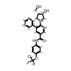 O=C(Nc1ccc(OC(F)(F)Cl)cc1)c1cnc(N2C[C@H](CO)[C@@H](O)C2)c(-c2cncnc2)c1